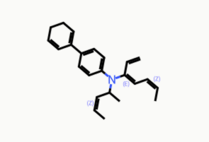 C=C/C(=C\C=C/C)N(c1ccc(C2=CCCC=C2)cc1)C(C)/C=C\C